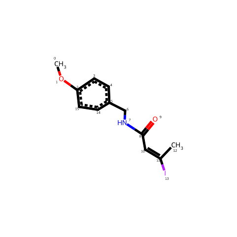 COc1ccc(CNC(=O)/C=C(\C)I)cc1